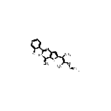 C=NN/C(C)=C(\C)c1cc2c(s1)C(=C)NC(c1ccccc1Cl)=N2